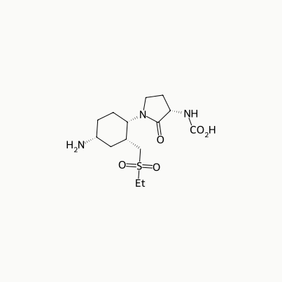 CCS(=O)(=O)C[C@@H]1C[C@H](N)CC[C@@H]1N1CC[C@H](NC(=O)O)C1=O